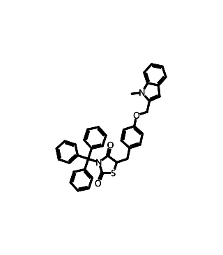 Cn1c(COc2ccc(CC3SC(=O)N(C(c4ccccc4)(c4ccccc4)c4ccccc4)C3=O)cc2)cc2ccccc21